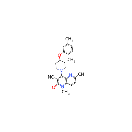 Cc1cccc(O[C@@H]2CCN(c3c(C#N)c(=O)n(C)c4ccc(C#N)nc34)C[C@H]2C)c1